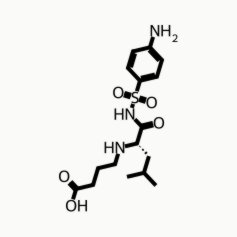 CC(C)C[C@H](NCCCC(=O)O)C(=O)NS(=O)(=O)c1ccc(N)cc1